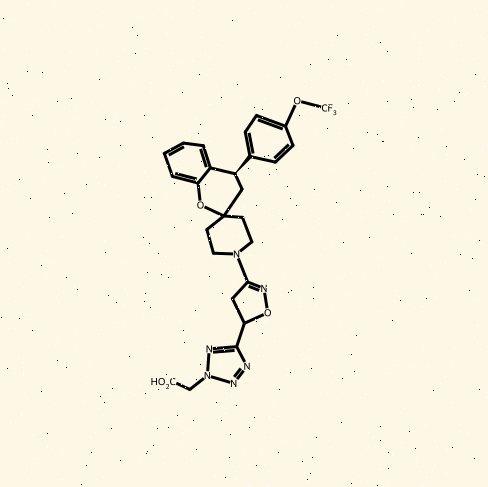 O=C(O)Cn1nnc(C2CC(N3CCC4(CC3)C[C@H](c3ccc(OC(F)(F)F)cc3)c3ccccc3O4)=NO2)n1